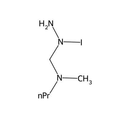 CCCN(C)CN(N)I